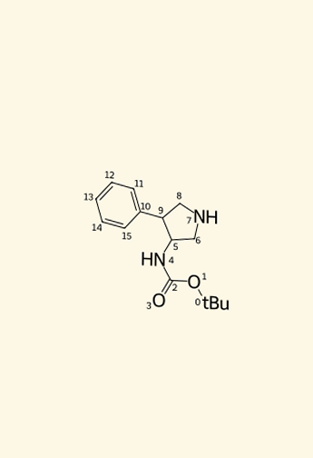 CC(C)(C)OC(=O)NC1CNCC1c1ccccc1